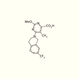 COc1nc(C(=O)O)c(C)c(N2CCc3ccc(C(F)(F)F)cc3C2)n1